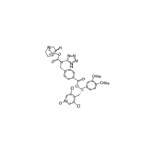 COc1ccc([C@H](Cc2c(Cl)c[n+]([O-])cc2Cl)OC(=O)c2ccc(CN(C(=O)O[C@H]3CN4CCC3CC4)c3nnn[nH]3)cc2)cc1OC